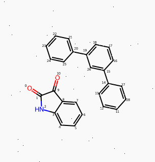 O=C1Nc2ccccc2C1=O.c1ccc(-c2cccc(-c3ccccc3)c2)cc1